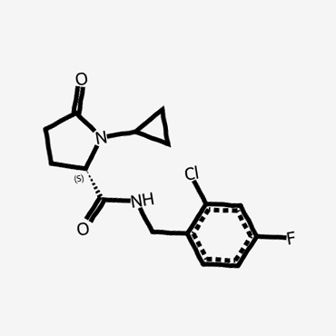 O=C(NCc1ccc(F)cc1Cl)[C@@H]1CCC(=O)N1C1CC1